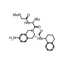 CNCC(=O)NC(C(=O)N1Cc2cc(N)ccc2C[C@H]1C(=O)NC1CCCc2ccccc21)C(C)(C)C